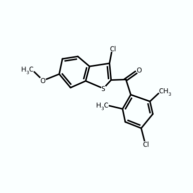 COc1ccc2c(Cl)c(C(=O)c3c(C)cc(Cl)cc3C)sc2c1